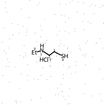 CCNCCS.Cl